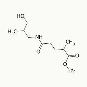 CC(CO)CNC(=O)CCC(C)C(=O)OC(C)C